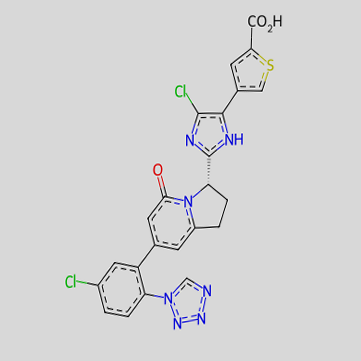 O=C(O)c1cc(-c2[nH]c([C@@H]3CCc4cc(-c5cc(Cl)ccc5-n5cnnn5)cc(=O)n43)nc2Cl)cs1